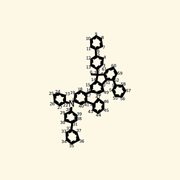 CC1(c2ccc(-c3ccccc3)cc2)c2cc(-c3ccc(N(c4ccccc4)c4ccc(-c5ccccc5)cc4)cc3-c3ccccc3)ccc2-c2c(-c3ccccc3)cccc21